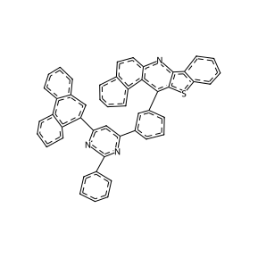 c1ccc(-c2nc(-c3cccc(-c4c5sc6ccccc6c5nc5ccc6ccccc6c45)c3)cc(-c3cc4ccccc4c4ccccc34)n2)cc1